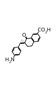 Nc1ccc(/C=C2\CCc3ccc(C(=O)O)cc3C2=O)cc1